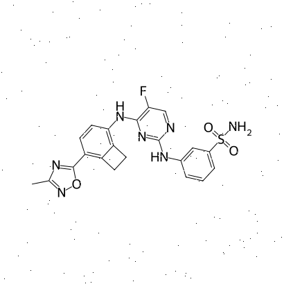 Cc1noc(-c2ccc(Nc3nc(Nc4cccc(S(N)(=O)=O)c4)ncc3F)c3c2CC3)n1